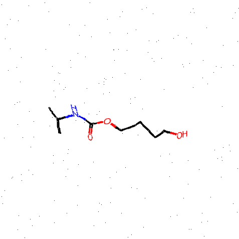 CC(C)NC(=O)OCCCCO